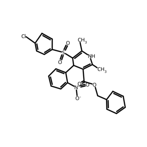 CC1=C(C(=O)OCc2ccccc2)C(c2ccccc2[N+](=O)[O-])C(S(=O)(=O)c2ccc(Cl)cc2)=C(C)N1